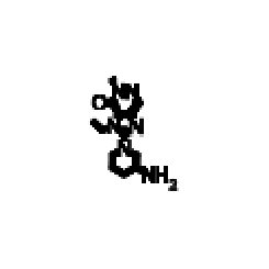 CCn1c(N2CCCC(N)C2)nc2cnn(C)c(=O)c21